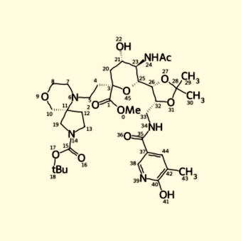 COC(=O)[C@@]1(CCN2CCOC[C@@]23CCN(C(=O)OC(C)(C)C)C3)C[C@H](O)[C@@H](NC(C)=O)[C@H]([C@@H]2OC(C)(C)O[C@@H]2CNC(=O)c2cnc(O)c(C)c2)O1